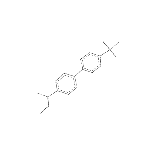 CCC(C)c1ccc(-c2ccc(C(C)(C)C)cc2)cc1